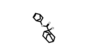 CCC1(C(=O)OC2CC3C=CC2C3)C2CC3CC(C2)CC1C3